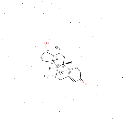 C[C@H]1CC2=CC(=O)CC[C@]2(C)[C@H]2CC[C@]3(C)[C@@H](O)CC[C@H]3[C@H]12